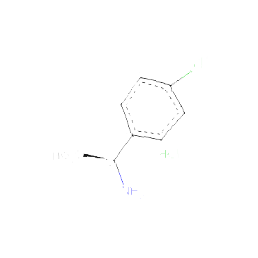 Cl.N[C@@H](C(=O)O)c1ccc(Cl)cc1